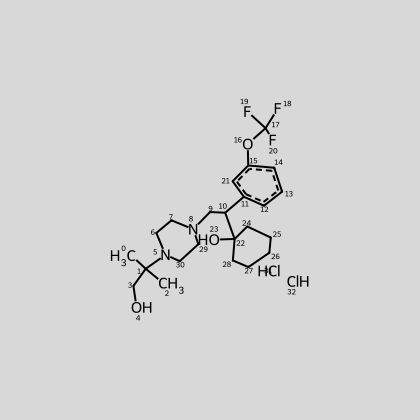 CC(C)(CO)N1CCN(CC(c2cccc(OC(F)(F)F)c2)C2(O)CCCCC2)CC1.Cl.Cl